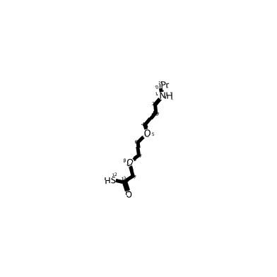 CC(C)NCCCOCCOCC(=O)S